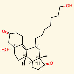 C[C@]12C[C@H](CCCCCCCO)C3=C4CCC(=O)C[C@]4(O)CC[C@H]3[C@@H]1CCC2=O